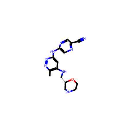 Cc1nnc(Nc2cnc(C#N)cn2)cc1NC[C@H]1CNCCO1